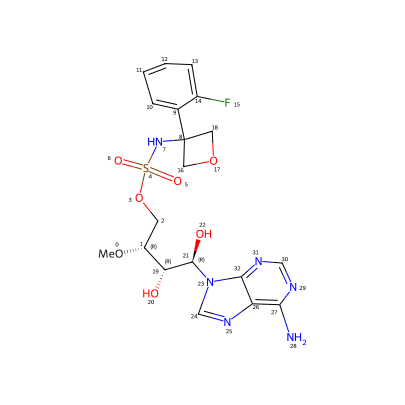 CO[C@H](COS(=O)(=O)NC1(c2ccccc2F)COC1)[C@@H](O)[C@@H](O)n1cnc2c(N)ncnc21